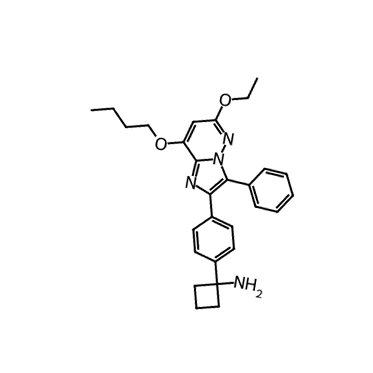 CCCCOc1cc(OCC)nn2c(-c3ccccc3)c(-c3ccc(C4(N)CCC4)cc3)nc12